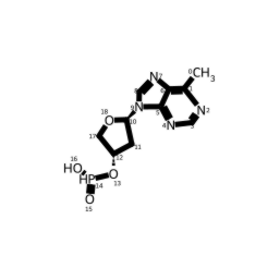 Cc1ncnc2c1ncn2[C@H]1C[C@H](O[PH](=O)O)CO1